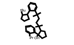 CC(C)c1ccccc1C1(O)CCCC1C(C)(C)CCC(C)(C)c1ccccc1C1CCCC1C(C)(C)C